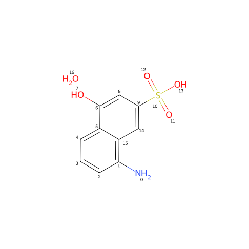 Nc1cccc2c(O)cc(S(=O)(=O)O)cc12.O